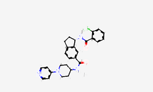 CC(C)N(C(=O)c1ccccc1Cl)[C@@H]1CCc2ccc(C(=O)N(C)C3CCN(c4ccncc4)CC3)cc21